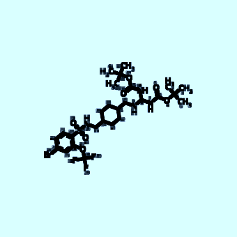 CC(C)(C)OC(=O)NC(NCC1CCC(CNS(=O)(=O)c2ccc(Br)cc2OC(F)(F)F)CC1)NC(=O)OC(C)(C)C